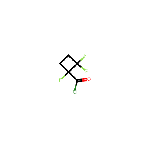 O=C(Cl)C1(F)CCC1(F)F